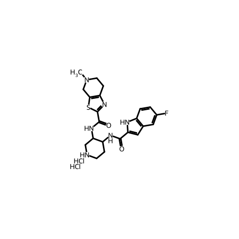 CN1CCc2nc(C(=O)NC3CNCCC3NC(=O)c3cc4cc(F)ccc4[nH]3)sc2C1.Cl.Cl